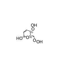 OOC[C@H]1O[C@H](O)C=C[C@@H]1OO